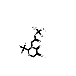 C=C1COC(C(F)(F)F)N(CC(=O)OC(C)(C)C)C1=O